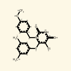 CCc1c(Sc2cc(C)cc(C)c2)n(Cc2ccc(OC(F)(F)F)cc2)c(=O)[nH]c1=O